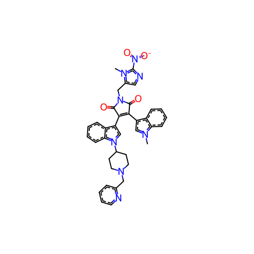 Cn1c(CN2C(=O)C(c3cn(C)c4ccccc34)=C(c3cn(C4CCN(Cc5ccccn5)CC4)c4ccccc34)C2=O)cnc1[N+](=O)[O-]